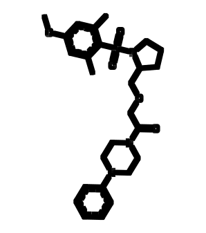 COc1cc(C)c(S(=O)(=O)N2CCCC2COCC(=O)N2CCN(c3ccccc3)CC2)c(C)c1